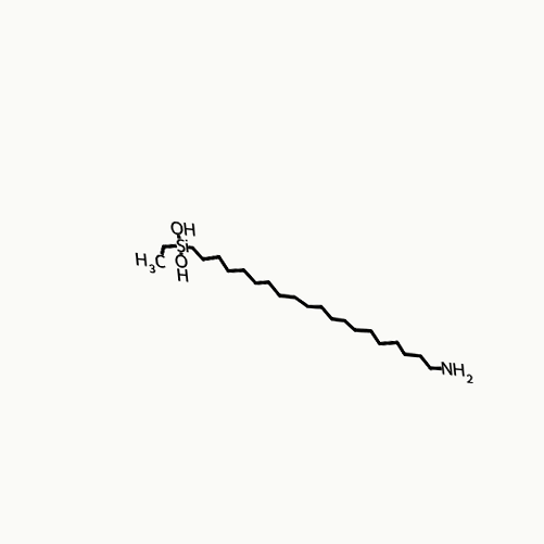 CC[Si](O)(O)CCCCCCCCCCCCCCCCCCCCN